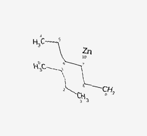 CCCC.CCCCCC.[Zn]